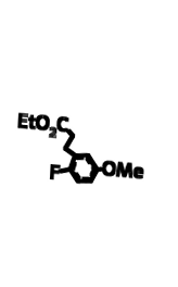 CCOC(=O)CCc1cc(OC)ccc1F